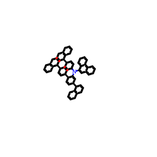 c1ccc2c(-c3ccc(-c4ccc(-c5cccc6ccccc56)cc4N(c4ccc(-c5cccc6ccccc56)cc4)c4cc5ccccc5c5ccccc45)cc3)cccc2c1